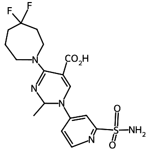 CC1N=C(N2CCCC(F)(F)CC2)C(C(=O)O)=CN1c1ccnc(S(N)(=O)=O)c1